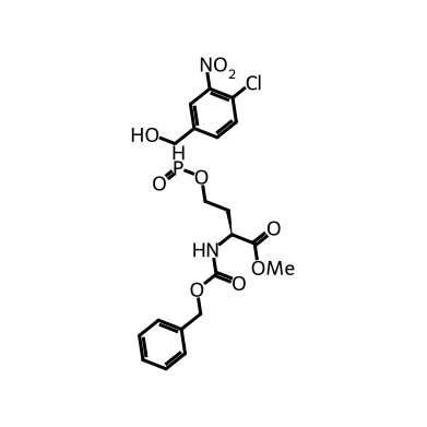 COC(=O)[C@H](CCO[PH](=O)C(O)c1ccc(Cl)c([N+](=O)[O-])c1)NC(=O)OCc1ccccc1